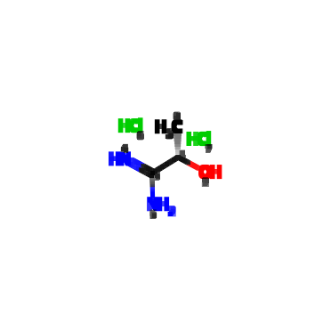 C[C@H](O)C(=N)N.Cl.Cl